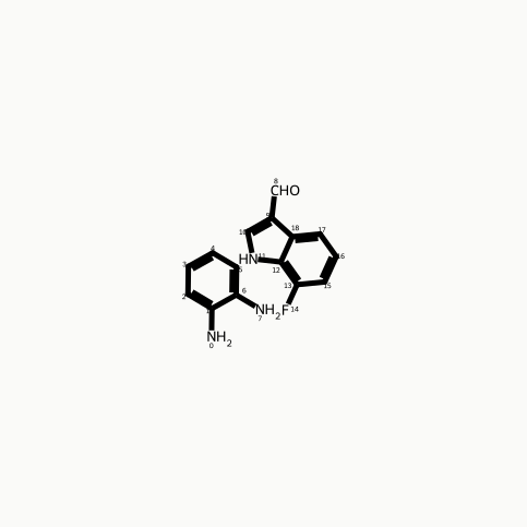 Nc1ccccc1N.O=Cc1c[nH]c2c(F)cccc12